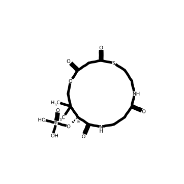 CC1(C)COC(=O)CC(=O)SCCNC(=O)CCNC(=O)[C@@H]1OP(=O)(O)O